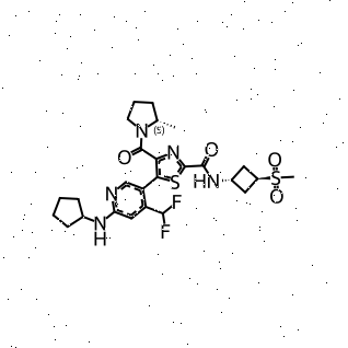 C[C@H]1CCCN1C(=O)c1nc(C(=O)N[C@H]2C[C@H](S(C)(=O)=O)C2)sc1-c1cnc(NC2CCCC2)cc1C(F)F